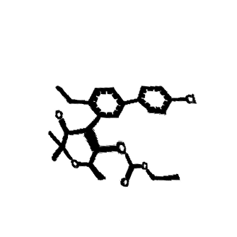 C=C1OC(C)(C)C(=O)C(c2cc(-c3ccc(Cl)cc3)ccc2CC)=C1OC(=O)OCC